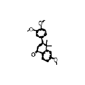 COc1ccc2c(c1)C(C)(C)C(c1ccc(OC)c(OC)c1)=CC2=O